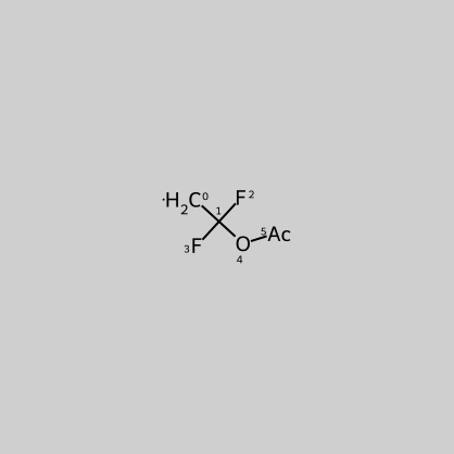 [CH2]C(F)(F)OC(C)=O